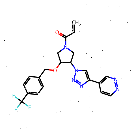 C=CC(=O)N1CC(OCc2ccc(C(F)(F)F)cc2)C(n2cc(-c3ccnnc3)nn2)C1